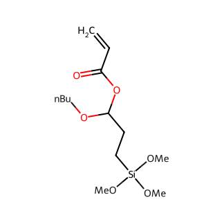 C=CC(=O)OC(CC[Si](OC)(OC)OC)OCCCC